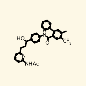 CC(=O)Nc1cccc(CCC(O)c2ccc(NC(=O)c3cc(C(F)(F)F)c(C)cc3-c3ccccc3)cc2)n1